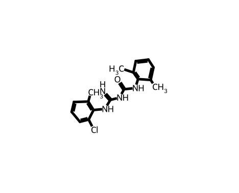 Cc1cccc(C)c1NC(=O)NC(=N)Nc1c(C)cccc1Cl